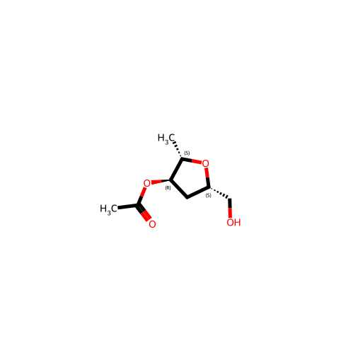 CC(=O)O[C@@H]1C[C@@H](CO)O[C@H]1C